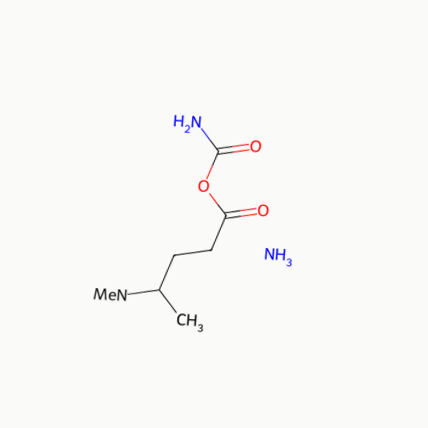 CNC(C)CCC(=O)OC(N)=O.N